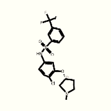 CN1CC[C@@H](Oc2cc(NS(=O)(=O)c3cccc(C(F)(F)F)c3)ccc2Cl)C1